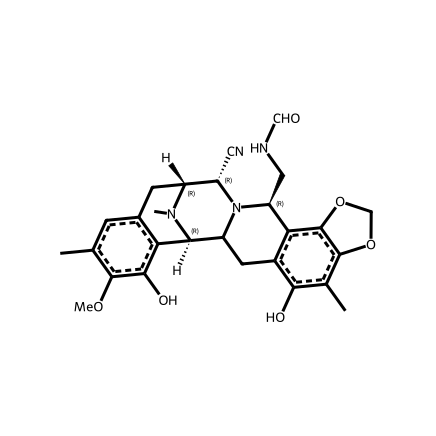 COc1c(C)cc2c(c1O)[C@@H]1C3Cc4c(O)c(C)c5c(c4[C@H](CNC=O)N3[C@@H](C#N)[C@@H](C2)N1C)OCO5